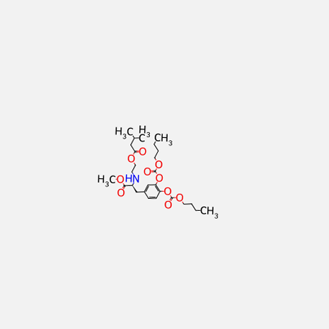 CCCCOC(=O)Oc1ccc(C[C@H](NCCOC(=O)CC(C)C)C(=O)OC)cc1OC(=O)OCCCC